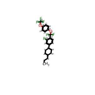 CCCC1CCC(c2ccc(C(F)(F)Oc3ccc(OC(F)(F)F)cc3)c(F)c2)CC1